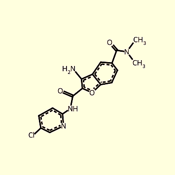 CN(C)C(=O)c1ccc2oc(C(=O)Nc3ccc(Cl)cn3)c(N)c2c1